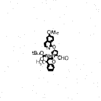 COc1ccc2c(O[C@@H]3C[C@@H](C=O)N(C(=O)C(NC(=O)OC(C)(C)C)C(C)c4ccccc4)C3)nccc2c1